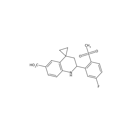 CS(=O)(=O)c1ccc(F)cc1C1CC2(CC2)c2cc(C(=O)O)ccc2N1